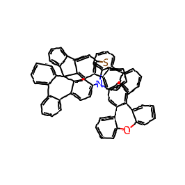 c1ccc(-c2ccccc2N(c2ccc3c(c2)-c2ccccc2Oc2ccccc2-3)c2ccc3c(c2)C2(c4ccccc4-c4ccccc4-3)c3ccccc3-c3cc4sc5ccccc5c4cc32)cc1